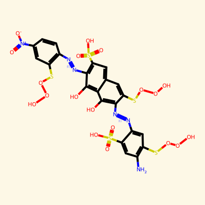 Nc1cc(S(=O)(=O)O)c(/N=N/c2c(SOOO)cc3cc(S(=O)(=O)O)c(/N=N/c4ccc([N+](=O)[O-])cc4SOOO)c(O)c3c2O)cc1SOOO